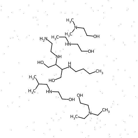 CC(C)CNCCO.CCCCNC(CO)C(CO)NCCN.CCN(CC)CCO.CCNCCO.CN(C)CCO